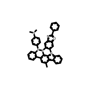 Cc1cc2c3c4c1c1ccccc1n4-c1cc4oc(-c5ccccc5)nc4cc1B3N(c1ccc(N(C)C)cc1)c1ccccc1-2